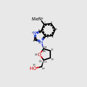 CNc1cccc2c1ncn2[C@H]1CC[C@@H](CO)O1